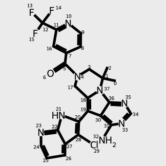 CC1(C)CN(C(=O)c2ccnc(C(F)(F)F)c2)Cc2c(-c3[nH]c4ncccc4c3Cl)c3c(N)ncnc3n21